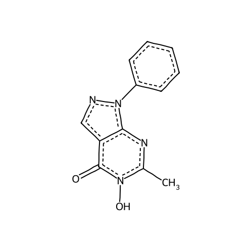 Cc1nc2c(cnn2-c2ccccc2)c(=O)n1O